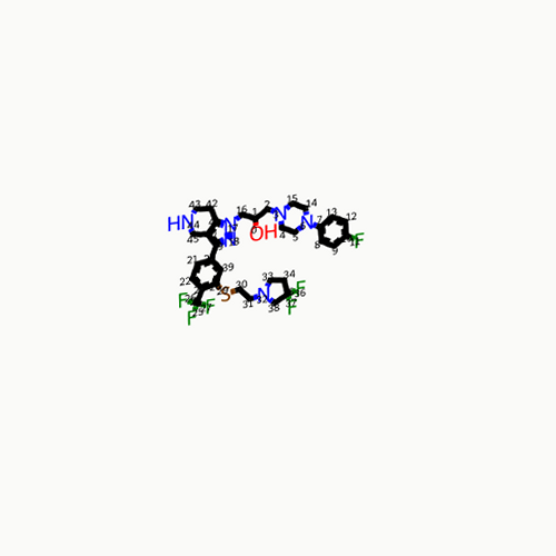 OC(CN1CCN(c2ccc(F)cc2)CC1)Cn1nc(-c2ccc(C(F)(F)F)c(SCCN3CCC(F)(F)C3)c2)c2c1CCNC2